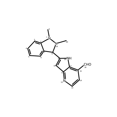 CN1c2ccccc2C(c2cc3nccc(C=O)c3[nH]2)N1C